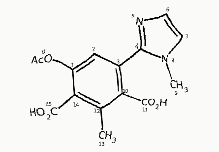 CC(=O)Oc1cc(-c2nccn2C)c(C(=O)O)c(C)c1C(=O)O